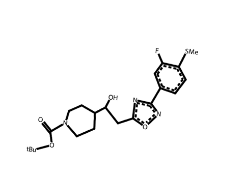 CSc1ccc(-c2noc(CC(O)C3CCN(C(=O)OC(C)(C)C)CC3)n2)cc1F